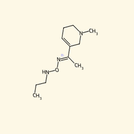 CCCNO/N=C(\C)C1=CCCN(C)C1